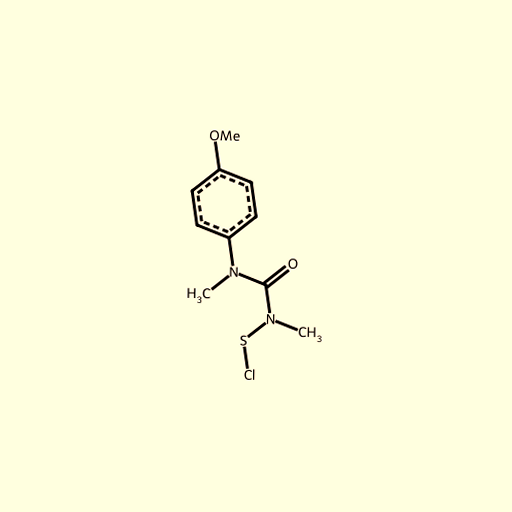 COc1ccc(N(C)C(=O)N(C)SCl)cc1